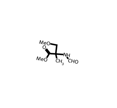 COCC(C)(NC=O)C(=O)OC